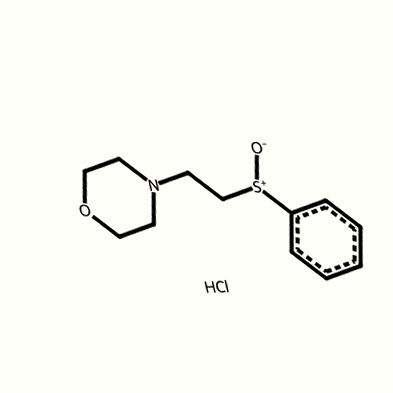 Cl.[O-][S+](CCN1CCOCC1)c1ccccc1